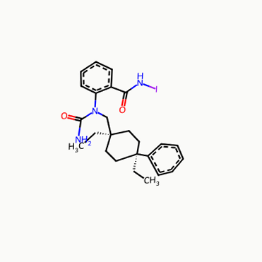 CC[C@]1(CN(C(N)=O)c2ccccc2C(=O)NI)CC[C@@](CC)(c2ccccc2)CC1